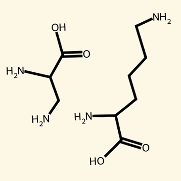 NCC(N)C(=O)O.NCCCCC(N)C(=O)O